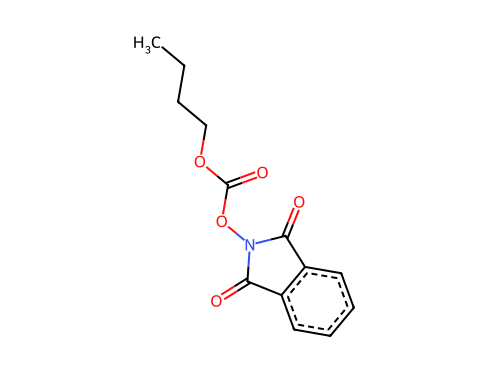 CCCCOC(=O)ON1C(=O)c2ccccc2C1=O